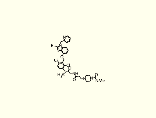 CCc1nc2c(OCc3c(Cl)ccc(N(C)C(=O)CNC(=O)CCN4CCN(C(=O)NC)CC4)c3Cl)cccc2n1Cc1ccccn1